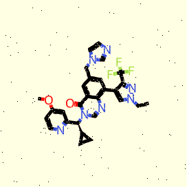 CCn1cc(-c2cc(Cn3ccnc3)cc3c(=O)n([C@H](c4cc(OC)ccn4)C4CC4)cnc23)c(C(F)(F)F)n1